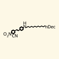 CCCCCCCCCCCCCCCCCCCCCCNc1ccc(C=Cc2ccc([N+](=O)[O-])c(C#N)c2)cc1